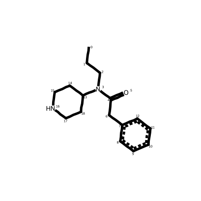 CCCN(C(=O)Cc1ccccc1)C1CCNCC1